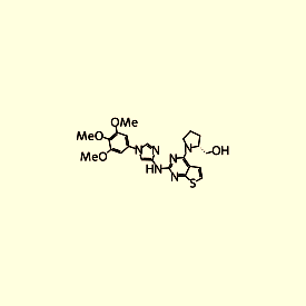 COc1cc(-n2cnc(Nc3nc(N4CCC[C@@H]4CO)c4ccsc4n3)c2)cc(OC)c1OC